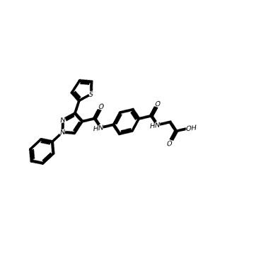 O=C(O)CNC(=O)c1ccc(NC(=O)c2cn(-c3ccccc3)nc2-c2cccs2)cc1